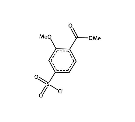 COC(=O)c1ccc(S(=O)(=O)Cl)cc1OC